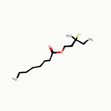 CCCCCCCC(=O)OCCC(C)(S)CC